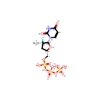 C[C@@]1(F)C[C@@H](COP(=O)(O)OP(=O)(O)OP(=O)(O)O)O[C@H]1n1ccc(=O)[nH]c1=O